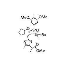 COC(=O)C(C)c1nc(CC[C@H](OC2CCCC2)[C@H](O[Si](C)(C)C(C)(C)C)c2cc(OC)c(C)c(OC)c2)sc1C